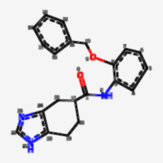 O=C(Nc1ccccc1OCc1ccccc1)C1CCc2[nH]cnc2C1